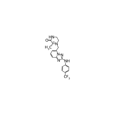 C[C@H]1C(=O)NCCN1Cc1cccc2nc(Nc3ccc(C(F)(F)F)cc3)nn12